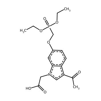 CCOP(=O)(COc1ccc2c(C(C)=O)cn(CC(=O)O)c2c1)OCC